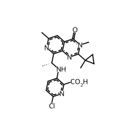 Cc1cc2c(=O)n(C)c(C3(C)CC3)nc2c([C@@H](C)Nc2ccc(Cl)nc2C(=O)O)n1